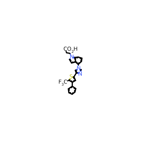 O=C(O)CCn1ccc2c(-n3cnc(-c4cc(-c5ccccc5)c(C(F)(F)F)s4)c3)cccc21